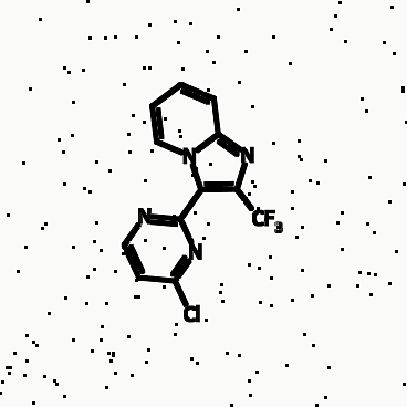 FC(F)(F)c1nc2ccccn2c1-c1nccc(Cl)n1